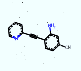 N#Cc1ccc(C#Cc2ccccn2)c(N)c1